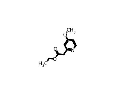 CCOC(=O)Cc1cc(OC)ccn1